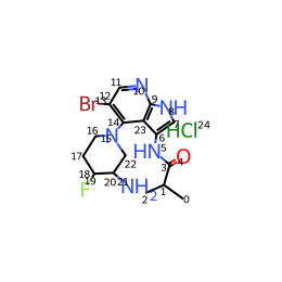 CC(C)C(=O)Nc1c[nH]c2ncc(Br)c(N3CCC(F)C(N)C3)c12.Cl